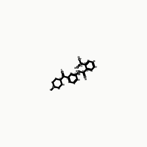 CN1CCC(C(=O)c2cccc(NC(=O)c3ccccc3[N+](=O)[O-])c2)CC1